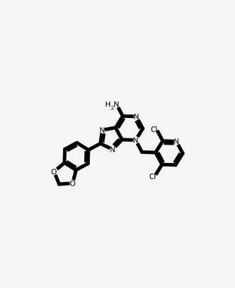 Nc1ncn(Cc2c(Cl)ccnc2Cl)c2nc(-c3ccc4c(c3)OCO4)nc1-2